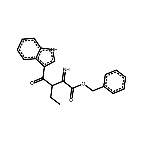 CCC(C(=N)C(=O)OCc1ccccc1)C(=O)c1c[nH]c2ccccc12